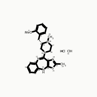 COc1ccccc1C[C@H]1CN(C2=Nc3ccccc3Nc3sc(C)nc32)CCN1C.Cl.Cl